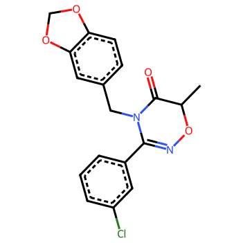 CC1ON=C(c2cccc(Cl)c2)N(Cc2ccc3c(c2)OCO3)C1=O